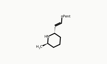 CCCCC/C=C/[C@@H]1CCC[C@@H](C)N1